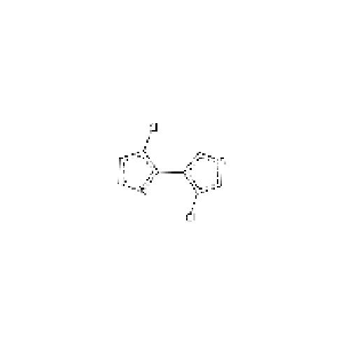 Clc1[c]scc1-c1sccc1Cl